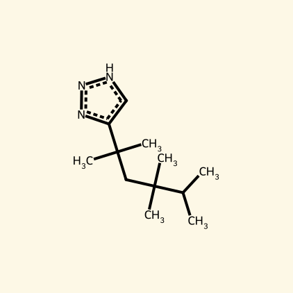 CC(C)C(C)(C)CC(C)(C)c1c[nH]nn1